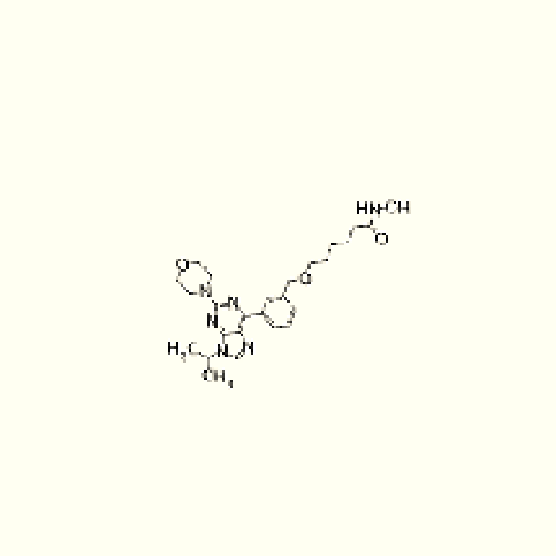 CC(C)n1cnc2c(-c3cccc(COCCCCCC(=O)NO)c3)nc(N3CCOCC3)nc21